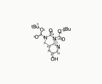 CC(C)(C)OC(=O)N1Cc2cc(O)cnc2N(C(=O)OC(C)(C)C)C1=O